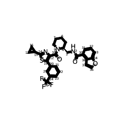 O=C(NC[C@@H]1CCCCN1C(=O)c1nc(C2CC2)sc1-c1cccc(C(F)(F)F)c1)c1cccc2occc12